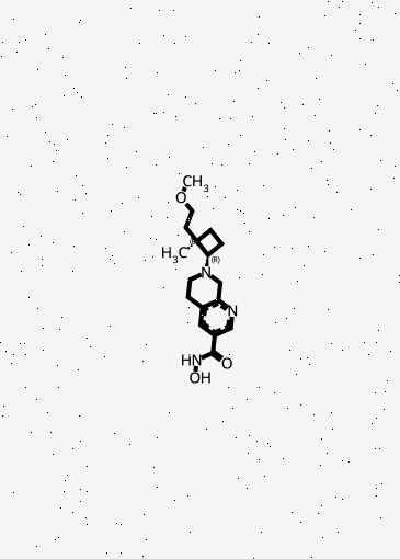 COCC[C@@]1(C)CC[C@H]1N1CCc2cc(C(=O)NO)cnc2C1